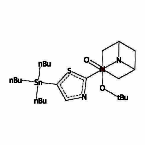 CCC[CH2][Sn]([CH2]CCC)([CH2]CCC)[c]1cnc(N2CC3CC(C2)N3C(=O)OC(C)(C)C)s1